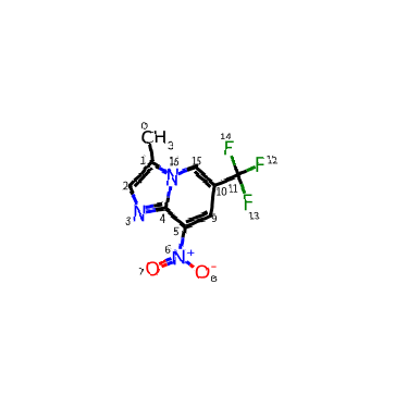 Cc1cnc2c([N+](=O)[O-])cc(C(F)(F)F)cn12